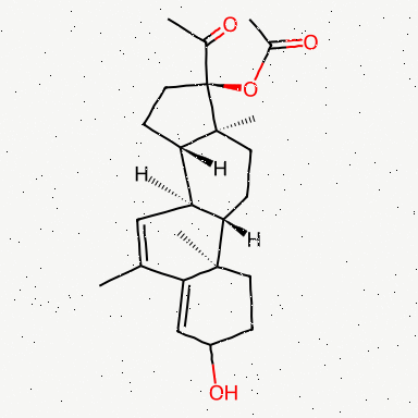 CC(=O)O[C@]1(C(C)=O)CC[C@H]2[C@@H]3C=C(C)C4=CC(O)CC[C@]4(C)[C@H]3CC[C@@]21C